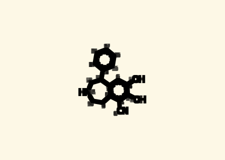 N#Cc1c(O)c(O)cc2c1CCNCC2c1ccccc1